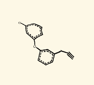 C#C[CH]c1cccc(Oc2cccc(Cl)c2)c1